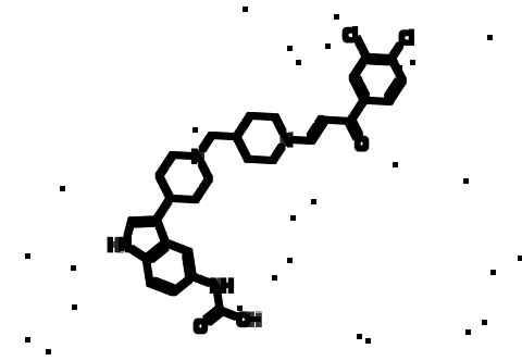 O=C(O)Nc1ccc2[nH]cc(C3CCN(CC4CCN(/C=C/C(=O)c5ccc(Cl)c(Cl)c5)CC4)CC3)c2c1